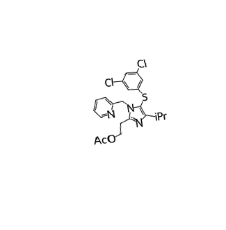 CC(=O)OCCc1nc(C(C)C)c(Sc2cc(Cl)cc(Cl)c2)n1Cc1ccccn1